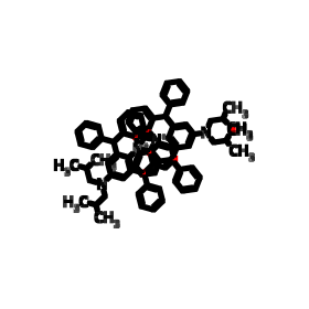 CC(C)CN(CC(C)C)c1cc(C(c2ccccc2)c2ccccc2)c([N+]23C=C[N+](c4c(C(c5ccccc5)c5ccccc5)cc(N(CC(C)C)CC(C)C)cc4C(c4ccccc4)c4ccccc4)(C2)C3)c(C(c2ccccc2)c2ccccc2)c1